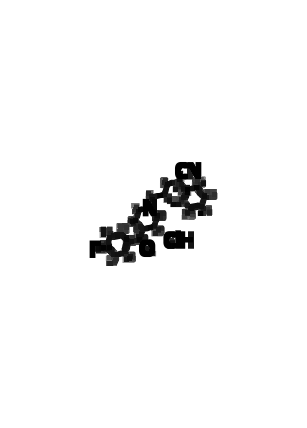 Cl.N#CC(CCCN1CCC(C(=O)c2ccc(F)cc2)CC1)c1ccccc1